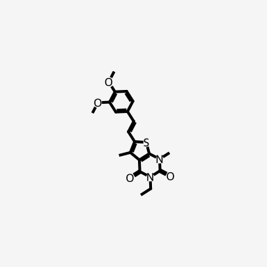 CCn1c(=O)c2c(C)c(C=Cc3ccc(OC)c(OC)c3)sc2n(C)c1=O